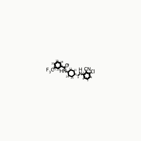 N#Cc1c(Cl)cccc1NC[C@H]1CC[C@H](NC(=O)c2cccc(C(F)(F)F)c2)CC1